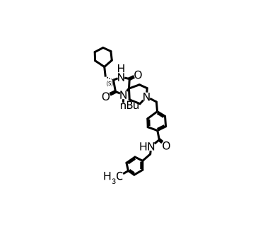 CCCCN1C(=O)[C@H](CC2CCCCC2)NC(=O)C12CCN(Cc1ccc(C(=O)NCc3ccc(C)cc3)cc1)CC2